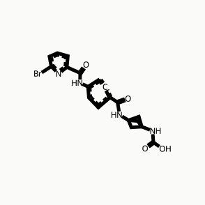 O=C(O)NC12CC(NC(=O)c3ccc(NC(=O)c4cccc(Br)n4)cc3)(C1)C2